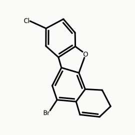 Clc1ccc2oc3c4c(c(Br)cc3c2c1)C=CCC4